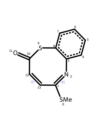 CSC1=N/c2ccccc2SC(=O)/C=C\1